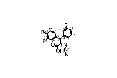 [N-]=[N+]=N[C@H](C(=O)O)[C@H](c1cccc(F)c1)c1ccc(F)c(F)c1